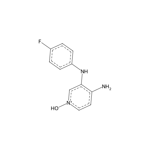 Nc1cc[n+](O)cc1Nc1ccc(F)cc1